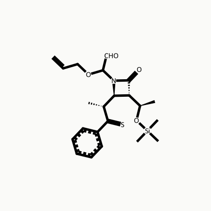 C=CCOC(C=O)N1C(=O)[C@H]([C@@H](C)O[Si](C)(C)C)[C@H]1[C@@H](C)C(=S)c1ccccc1